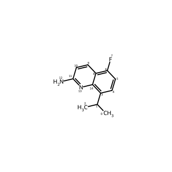 CC(C)c1ccc(F)c2ccc(N)nc12